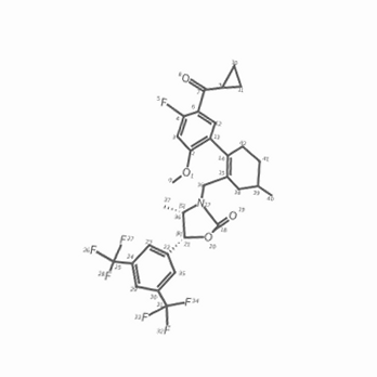 COc1cc(F)c(C(=O)C2CC2)cc1C1=C(CN2C(=O)O[C@H](c3cc(C(F)(F)F)cc(C(F)(F)F)c3)[C@@H]2C)CC(C)CC1